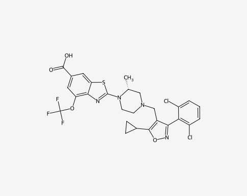 C[C@@H]1CN(Cc2c(-c3c(Cl)cccc3Cl)noc2C2CC2)CCN1c1nc2c(OC(F)(F)F)cc(C(=O)O)cc2s1